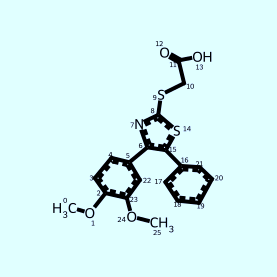 COc1ccc(-c2nc(SCC(=O)O)sc2-c2ccccc2)cc1OC